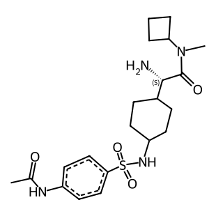 CC(=O)Nc1ccc(S(=O)(=O)NC2CCC([C@H](N)C(=O)N(C)C3CCC3)CC2)cc1